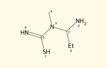 CCC(N)N(C)C(=N)S